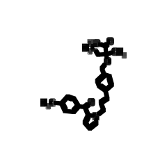 CCC(C)(OCc1ccc(C=CCn2cccc2C(=O)c2ccc(C)cc2)cc1)C(=O)O